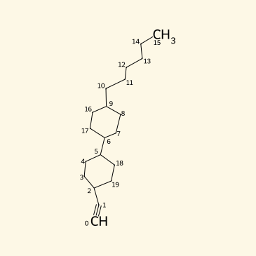 C#CC1CCC(C2CCC(CCCCCC)CC2)CC1